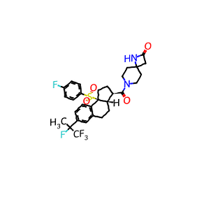 CC(F)(c1ccc2c(c1)CC[C@H]1[C@H](C(=O)N3CCC4(CC3)CC(=O)N4)CC[C@@]21S(=O)(=O)c1ccc(F)cc1)C(F)(F)F